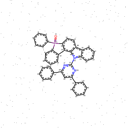 O=P1(c2ccccc2)c2ccccc2-c2c1ccc1c3ccccc3n(-c3nc(-c4ccccc4)cc(-c4ccccc4)n3)c21